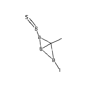 CC12B(I)B1B2B=S